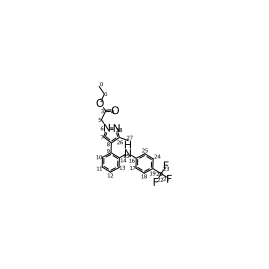 CCOC(=O)Cn1cc(-c2ccccc2Nc2ccc(C(F)(F)F)cc2)c(C)n1